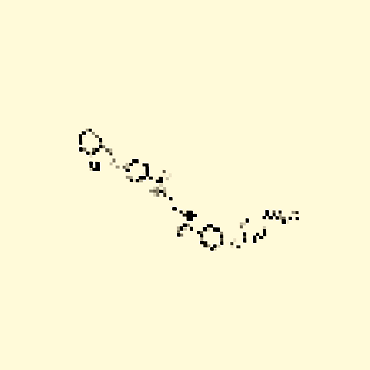 CCOC(=O)C1CCC(Oc2ccc(C(=O)NCCNC(=O)c3ccc(OCc4ccccc4Cl)cc3)cc2)CC1